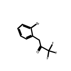 O=C(Cc1ccccc1Br)C(F)(F)F